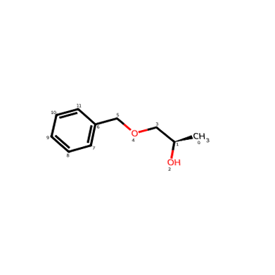 C[C@@H](O)COCc1ccccc1